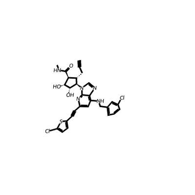 C#CC[C@H]1[C@H](C(=O)NC)[C@@H](O)[C@@H](O)[C@@H]1n1cnc2c(NCc3cccc(Cl)c3)cc(C#Cc3ccc(Cl)s3)nc21